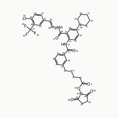 O=C(CCSCc1cccc(C(=O)Nc2ccc(N3CCCCC3)cc2C(=O)N/N=C/c2ccc(Cl)c(C(F)(F)F)c2)c1)ON1C(=O)CCC1=O